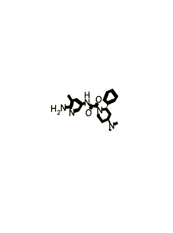 Cc1cc(NC(=O)C(=O)N2CC[C@H](N(C)C)C[C@H]2c2ccccc2)cnc1N